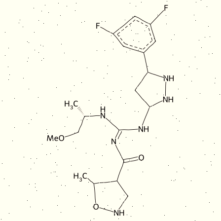 COC[C@H](C)N/C(=N/C(=O)C1CNOC1C)NC1CC(c2cc(F)cc(F)c2)NN1